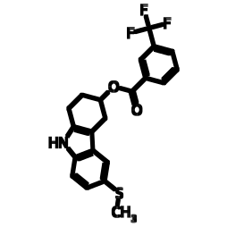 CSc1ccc2[nH]c3c(c2c1)CC(OC(=O)c1cccc(C(F)(F)F)c1)CC3